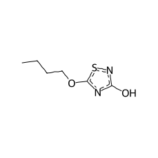 CCCCOc1nc(O)ns1